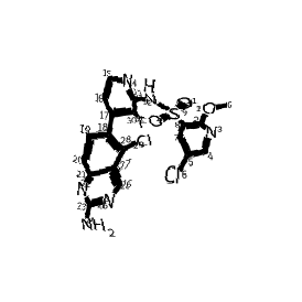 COc1ncc(Cl)cc1S(=O)(=O)Nc1nccc(-c2ccc3nc(N)ncc3c2Cl)c1F